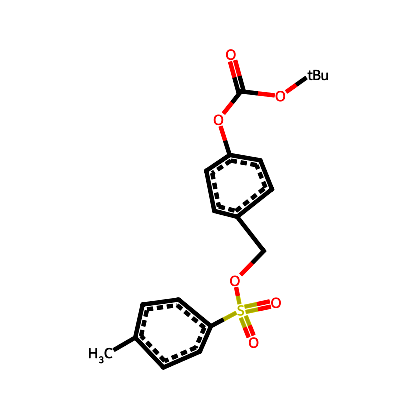 Cc1ccc(S(=O)(=O)OCc2ccc(OC(=O)OC(C)(C)C)cc2)cc1